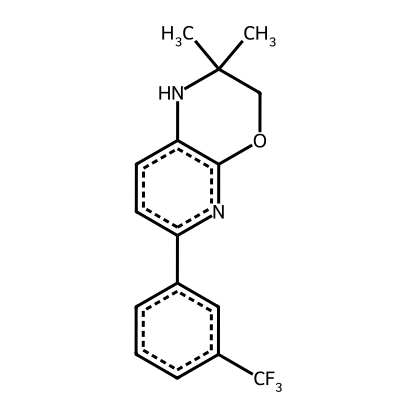 CC1(C)COc2nc(-c3cccc(C(F)(F)F)c3)ccc2N1